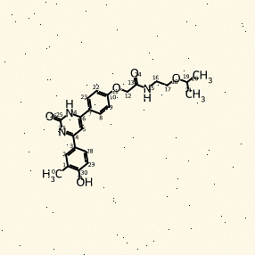 Cc1cc(-c2cc(-c3ccc(OCC(=O)NCCOC(C)C)cc3)[nH]c(=O)n2)ccc1O